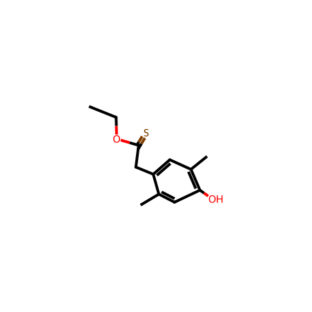 CCOC(=S)Cc1cc(C)c(O)cc1C